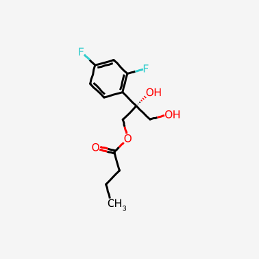 CCCC(=O)OC[C@](O)(CO)c1ccc(F)cc1F